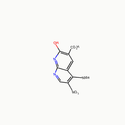 CNc1c([N+](=O)[O-])cnc2nc(O)c(C(=O)O)cc12